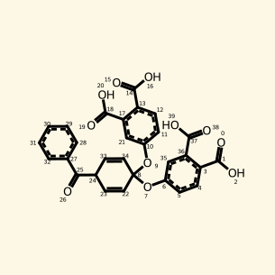 O=C(O)c1ccc(OC2(Oc3ccc(C(=O)O)c(C(=O)O)c3)C=CC(C(=O)c3ccccc3)C=C2)cc1C(=O)O